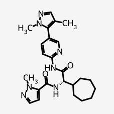 Cc1cnn(C)c1-c1ccc(NC(=O)[C@@H](NC(=O)c2ccnn2C)C2CCCCCC2)nc1